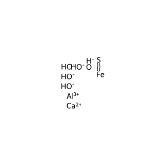 [Al+3].[Ca+2].[OH-].[OH-].[OH-].[OH-].[OH-].[S]=[Fe]